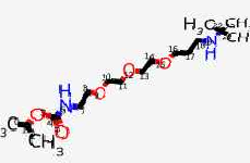 CC(C)OC(=O)NCCOCCOCCOCCCNC(C)(C)C